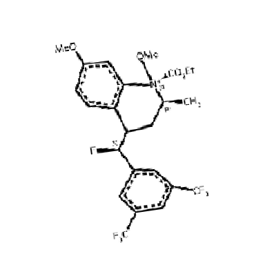 CCOC(=O)[N@+]1(OC)c2cc(OC)ccc2C([C@H](F)c2cc(C(F)(F)F)cc(C(F)(F)F)c2)C[C@@H]1C